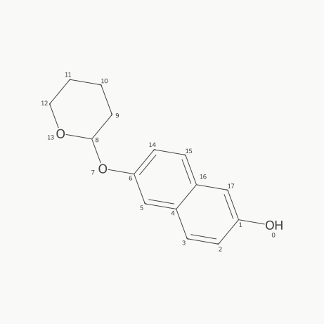 Oc1ccc2cc(OC3CCCCO3)ccc2c1